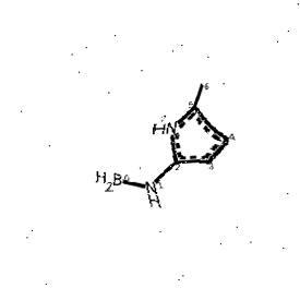 BNc1ccc(C)[nH]1